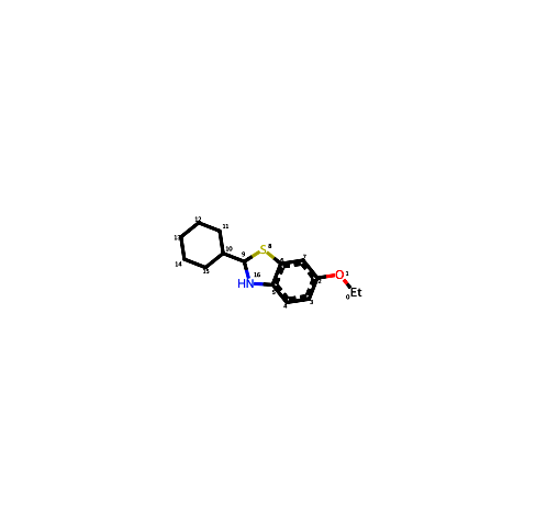 CCOc1ccc2c(c1)SC(C1CCCCC1)N2